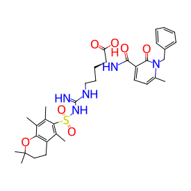 Cc1c(C)c(S(=O)(=O)NC(=N)NCCC[C@H](NC(=O)c2ccc(C)n(Cc3ccccc3)c2=O)C(=O)O)c(C)c2c1OC(C)(C)CC2